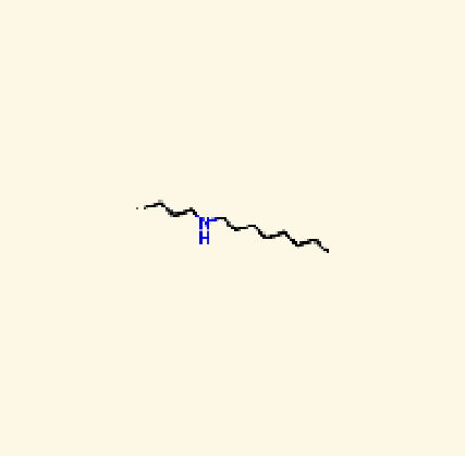 [CH2]CCCNCCCCCCCC